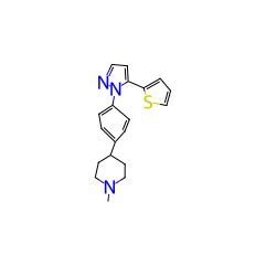 CN1CCC(c2ccc(-n3nccc3-c3cccs3)cc2)CC1